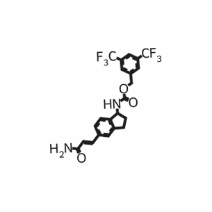 NC(=O)/C=C/c1ccc2c(c1)CCC2NC(=O)OCc1cc(C(F)(F)F)cc(C(F)(F)F)c1